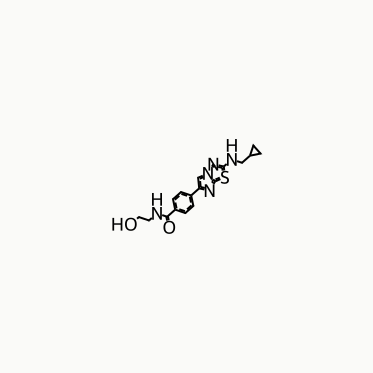 O=C(NCCO)c1ccc(-c2cn3nc(NCC4CC4)sc3n2)cc1